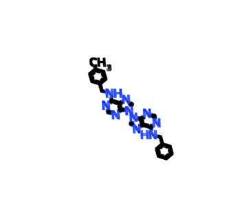 Cc1ccc(CNc2ncnc3c2ncn3-n2cnc3c(NCc4ccccc4)ncnc32)cc1